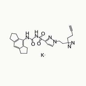 C#CCCC1(CCn2ccc(S(=O)(=O)NC(=O)Nc3c4c(cc5c3CCC5)CCC4)n2)N=N1.[K]